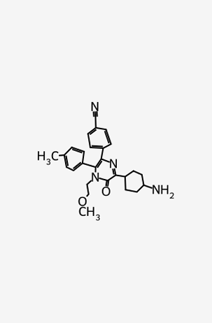 COCCn1c(-c2ccc(C)cc2)c(-c2ccc(C#N)cc2)nc(C2CCC(N)CC2)c1=O